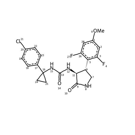 COc1cc(F)c([C@@H]2CNC(=O)[C@H]2NC(=O)NC2(c3ccc(Cl)cc3)CC2)c(F)c1